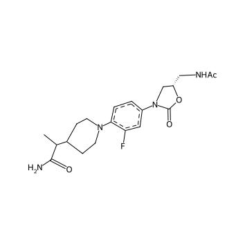 CC(=O)NC[C@H]1CN(c2ccc(N3CCC(C(C)C(N)=O)CC3)c(F)c2)C(=O)O1